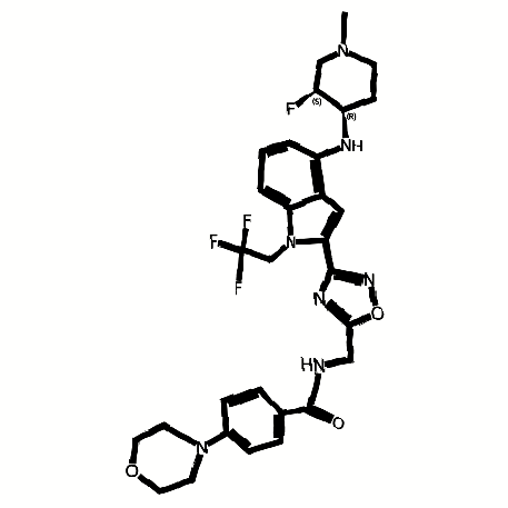 CN1CC[C@@H](Nc2cccc3c2cc(-c2noc(CNC(=O)c4ccc(N5CCOCC5)cc4)n2)n3CC(F)(F)F)[C@@H](F)C1